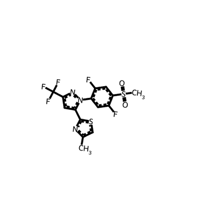 Cc1csc(-c2cc(C(F)(F)F)nn2-c2cc(F)c(S(C)(=O)=O)cc2F)n1